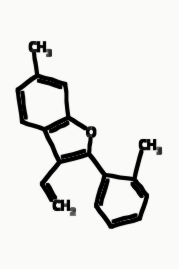 C=Cc1c(-c2ccccc2C)oc2cc(C)ccc12